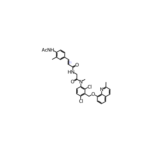 CC(=O)Nc1ccc(/C=C/C(=O)NCC(=O)N(C)c2ccc(Cl)c(COc3cccc4ccc(C)nc34)c2Cl)cc1C